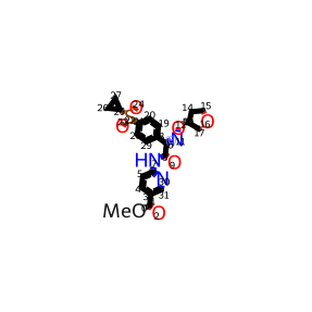 COC(=O)c1ccc(NC(=O)/C(=N/O[C@@H]2CCOC2)c2ccc(S(=O)(=O)C3CC3)cc2)nc1